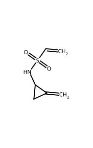 C=CS(=O)(=O)NC1CC1=C